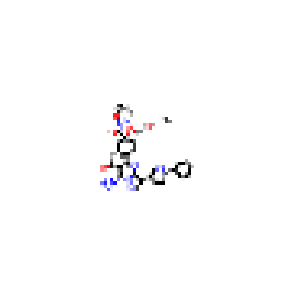 COCCOC1(C(=O)NOC)CCC(c2nc3c(-c4ccc(-c5ccccc5)nc4)cnn3c(N)c2C(C)=O)CC1